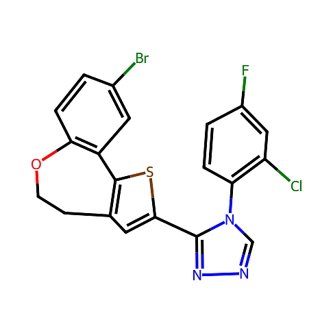 Fc1ccc(-n2cnnc2-c2cc3c(s2)-c2cc(Br)ccc2OCC3)c(Cl)c1